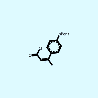 CCCCCc1ccc(/C(C)=C\C(=O)Cl)cc1